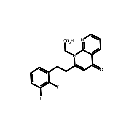 O=C(O)Cn1c(CCc2cccc(F)c2F)cc(=O)c2cccnc21